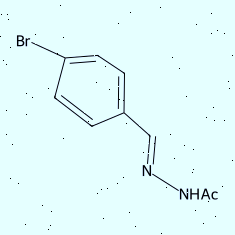 [CH2]C(=O)NN=Cc1ccc(Br)cc1